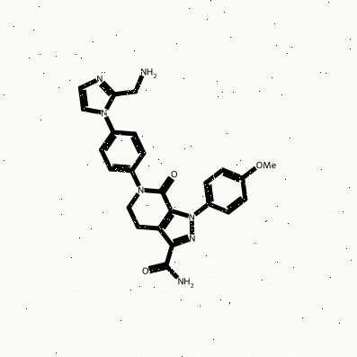 COc1ccc(-n2nc(C(N)=O)c3c2C(=O)N(c2ccc(-n4ccnc4CN)cc2)CC3)cc1